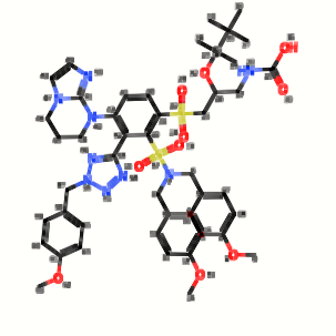 COc1ccc(CN(Cc2ccc(OC)cc2)S(=O)(=O)c2c(S(=O)(=O)CC(CNC(=O)O)O[Si](C)(C)C(C)(C)C)ccc(N3CCCn4ccnc43)c2-c2nnn(Cc3ccc(OC)cc3)n2)cc1